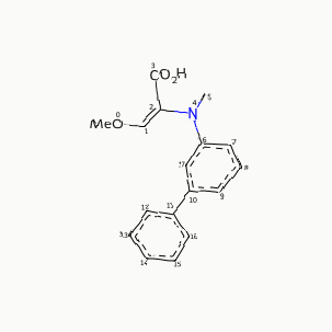 COC=C(C(=O)O)N(C)c1cccc(-c2ccccc2)c1